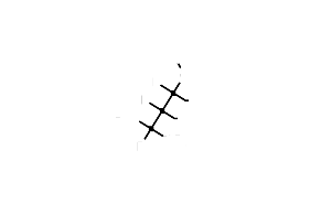 CCOC(F)(F)C(F)(F)C(F)(C(F)(F)F)C(F)(F)F